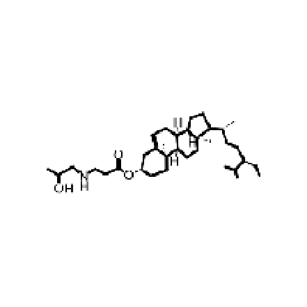 CC[C@H](CC[C@@H](C)C1CC[C@H]2[C@@H]3CC=C4C[C@@H](OC(=O)CCNCC(C)O)CC[C@]4(C)[C@H]3CC[C@]12C)C(C)C